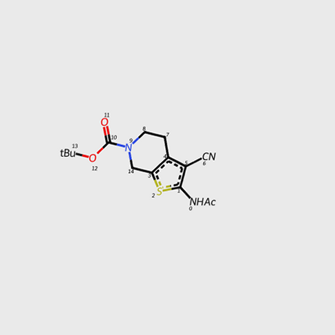 CC(=O)Nc1sc2c(c1C#N)CCN(C(=O)OC(C)(C)C)C2